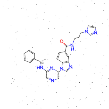 C[C@H](Nc1cncc(-n2cnc3cc(C(=O)NCCCn4ccnc4)ccc32)n1)c1ccccc1